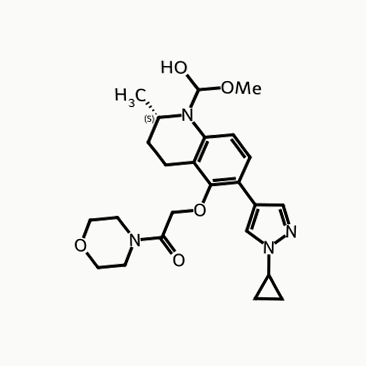 COC(O)N1c2ccc(-c3cnn(C4CC4)c3)c(OCC(=O)N3CCOCC3)c2CC[C@@H]1C